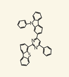 c1ccc(-c2cc(-c3ccc4c5ccccc5n(-c5ccccc5)c4c3)nc(-c3cccc4c3sc3ccccc34)n2)cc1